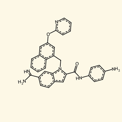 N=C(N)c1ccc2cc(C(=O)Nc3ccc(N)cc3)n(Cc3cc(Oc4ccccn4)cc4ccccc34)c2c1